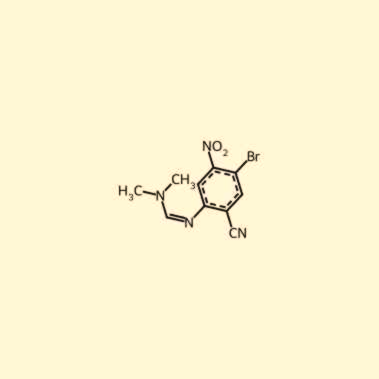 CN(C)/C=N\c1cc([N+](=O)[O-])c(Br)cc1C#N